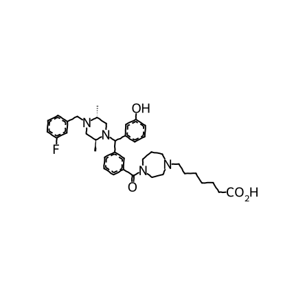 C[C@@H]1CN(C(c2cccc(O)c2)c2cccc(C(=O)N3CCCN(CCCCCCC(=O)O)CC3)c2)[C@@H](C)CN1Cc1cccc(F)c1